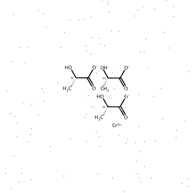 C[C@H](O)C(=O)[O-].C[C@H](O)C(=O)[O-].C[C@H](O)C(=O)[O-].[Cr+3]